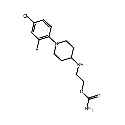 NC(=O)OCCNC1CCN(c2ccc(Cl)cc2F)CC1